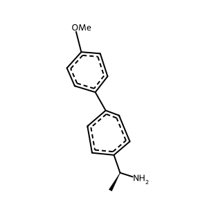 COc1ccc(-c2ccc([C@H](C)N)cc2)cc1